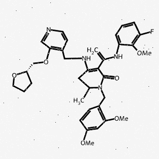 C=C(Nc1cccc(F)c1OC)C1=C(NCc2ccncc2OC[C@@H]2CCCO2)CC(C)N(Cc2ccc(OC)cc2OC)C1=O